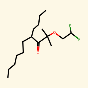 CCCCCCC(CCCC)C(=O)C(C)(C)OCC(F)F